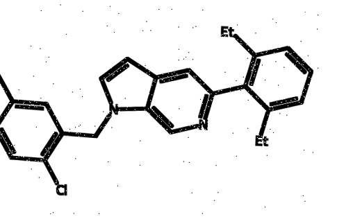 CCc1cccc(CC)c1-c1cc2ccn(Cc3cc(Cl)ccc3Cl)c2cn1